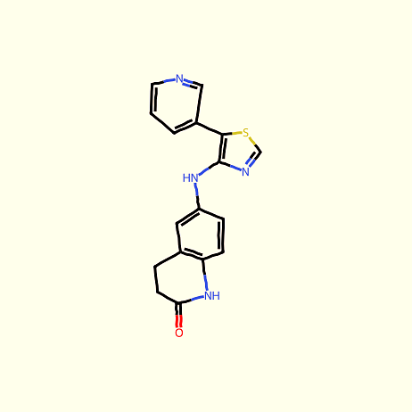 O=C1CCc2cc(Nc3ncsc3-c3cccnc3)ccc2N1